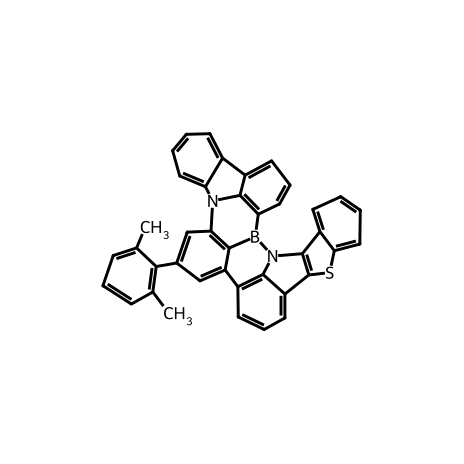 Cc1cccc(C)c1-c1cc2c3c(c1)-n1c4ccccc4c4cccc(c41)B3n1c3c-2cccc3c2sc3ccccc3c21